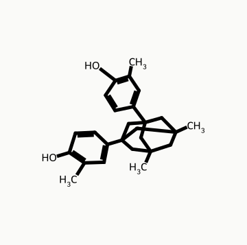 Cc1cc(C23CC4(C)CC(C)(C2)CC(c2ccc(O)c(C)c2)(C4)C3)ccc1O